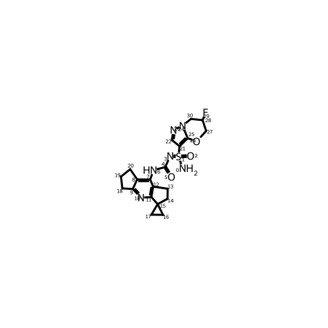 NS(=O)(=NC(=O)Nc1c2c(nc3c1CCC31CC1)CCC2)c1cnn2c1OCC(F)C2